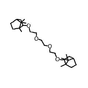 CC1(C)C2CCC1(C)C(OCCOCCOCCOC1CC3CCC1(C)C3(C)C)C2